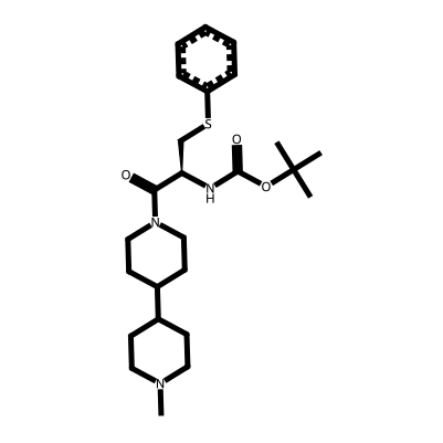 CN1CCC(C2CCN(C(=O)[C@@H](CSc3ccccc3)NC(=O)OC(C)(C)C)CC2)CC1